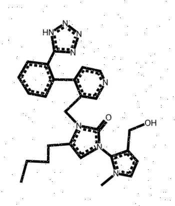 CCCCc1cn(-c2c(CO)ccn2C)c(=O)n1Cc1cnccc1-c1ccccc1-c1nnn[nH]1